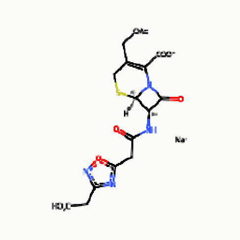 CC(=O)OCC1=C(C(=O)[O-])N2C(=O)[C@@H](NC(=O)Cc3nc(CC(=O)O)no3)[C@H]2SC1.[Na+]